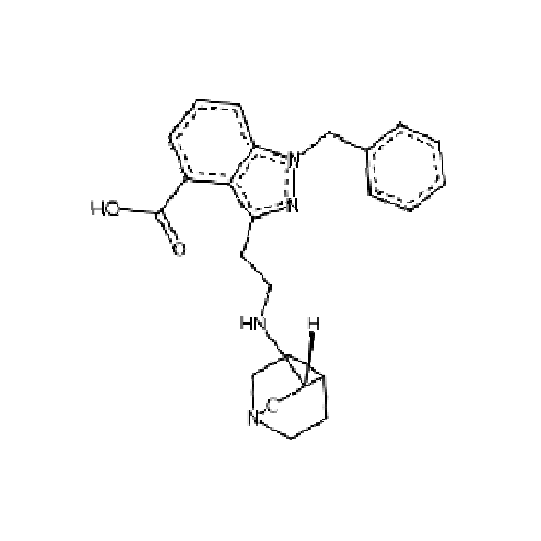 O=C(O)c1cccc2c1c(CCN[C@H]1CN3CCC1CC3)nn2Cc1ccccc1